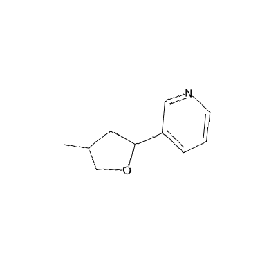 CC1COC(c2cccnc2)C1